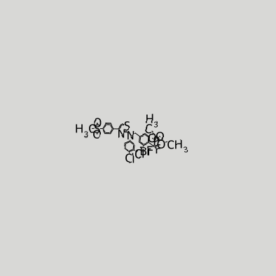 CCOP(=O)(OCC)C(F)(F)c1ccc(CN(c2ccc(Cl)c(Cl)c2)c2nc(-c3ccc(S(C)(=O)=O)cc3)cs2)cc1Br